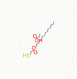 CCC(=O)O.CCCCCCCCCCCCCCOC(=O)CCS